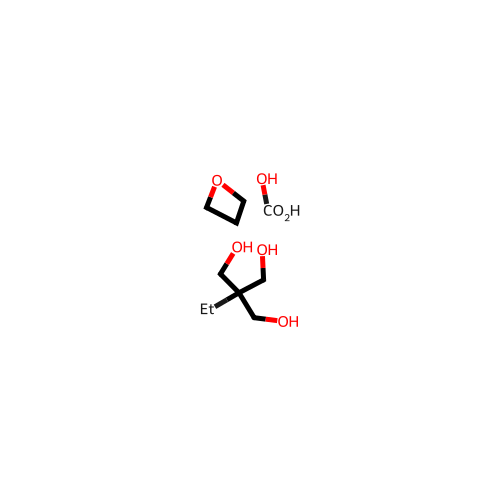 C1COC1.CCC(CO)(CO)CO.O=C(O)O